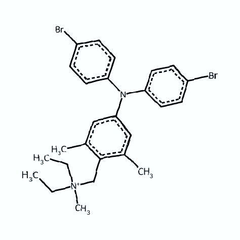 CC[N+](C)(CC)Cc1c(C)cc(N(c2ccc(Br)cc2)c2ccc(Br)cc2)cc1C